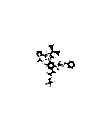 CC(C(=O)NCC(F)(F)F)c1cc(F)c(NC(=O)[C@@H](NC(=O)c2ccnn2C(C)C)C(C2CC2)C2CC2)cc1N(C)C(=O)OCc1ccccc1